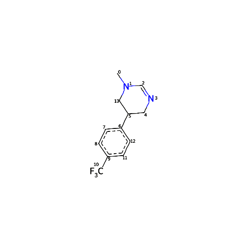 CN1C=NCC(c2ccc(C(F)(F)F)cc2)C1